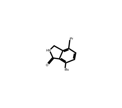 CCC(C)c1ccc(C(C)C)c2c1C(=O)NC2